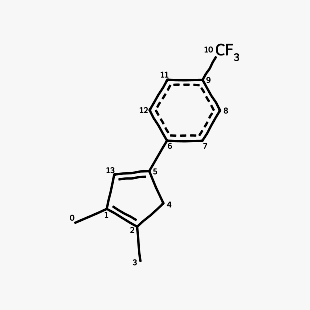 CC1=C(C)CC(c2ccc(C(F)(F)F)cc2)=C1